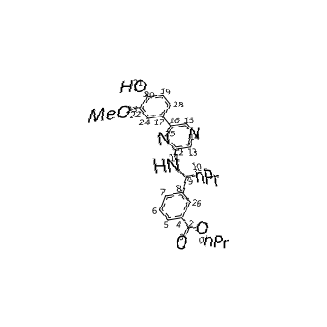 CCCOC(=O)c1cccc(C(CCC)Nc2cncc(-c3ccc(O)c(OC)c3)n2)c1